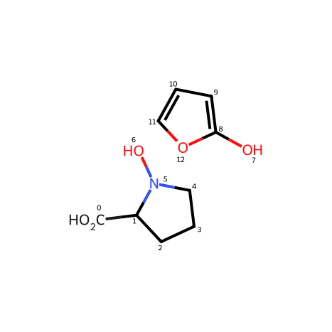 O=C(O)C1CCCN1O.Oc1ccco1